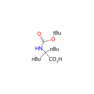 CCCCC(CCCC)(NC(=O)OC(C)(C)C)C(=O)O